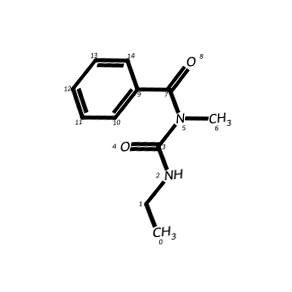 CCNC(=O)N(C)C(=O)c1ccccc1